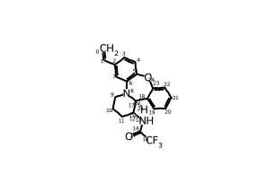 C=Cc1ccc2c(c1)N1CCC[C@H](NC(=O)C(F)(F)F)[C@@H]1c1ccccc1O2